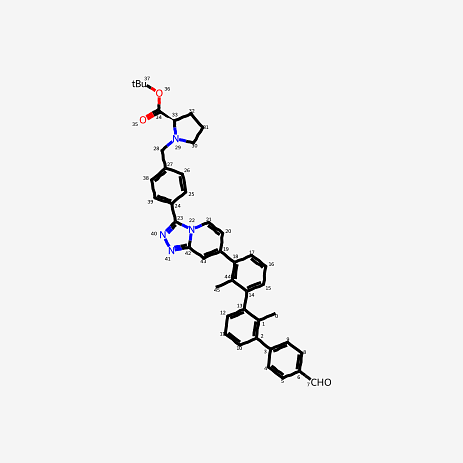 Cc1c(-c2ccc(C=O)cc2)cccc1-c1cccc(-c2ccn3c(-c4ccc(CN5CCC[C@@H]5C(=O)OC(C)(C)C)cc4)nnc3c2)c1C